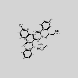 CS(=O)(=O)O.Cc1ccc(C(=O)N(CCCN)[C@@H](c2nc3cc(Cl)ccc3c(=O)n2Cc2ccccc2)C(C)C)cc1